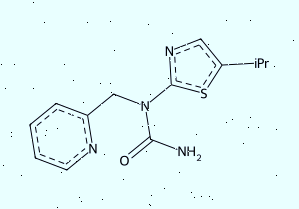 CC(C)c1cnc(N(Cc2ccccn2)C(N)=O)s1